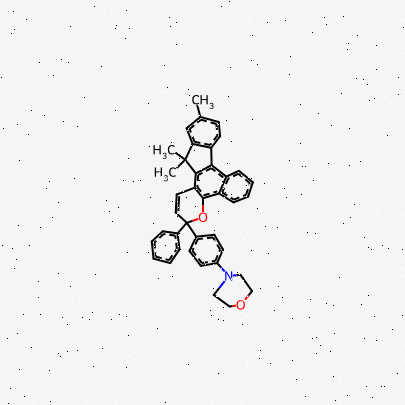 Cc1ccc2c(c1)C(C)(C)c1c3c(c4ccccc4c1-2)OC(c1ccccc1)(c1ccc(N2CCOCC2)cc1)C=C3